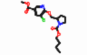 CCCCOC(=O)N1CCCC1COc1ncc(C(=O)OC)cc1Cl